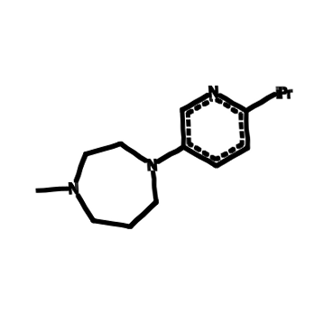 CC(C)c1ccc(N2CCCN(C)CC2)cn1